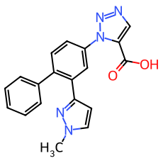 Cn1ccc(-c2cc(-n3nncc3C(=O)O)ccc2-c2ccccc2)n1